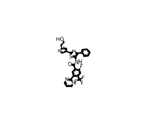 O=C(Nc1sc(-c2cnn(CCO)c2)nc1-c1ccccc1)c1cc(-c2ncccn2)c(C(F)(F)F)cc1F